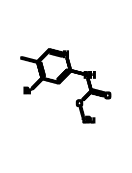 Cc1cnc(NC(=O)OC(C)(C)C)cc1Br